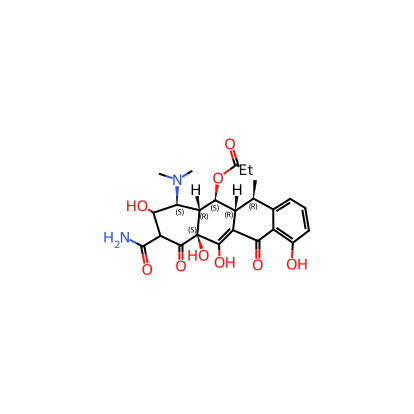 CCC(=O)O[C@H]1[C@H]2C(=C(O)[C@]3(O)C(=O)C(C(N)=O)C(O)[C@@H](N(C)C)[C@H]13)C(=O)c1c(O)cccc1[C@@H]2C